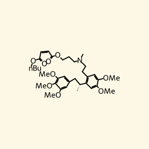 CCCCOC(=O)/C=C\C(=O)OCCCN(C)CCc1cc(OC)c(OC)cc1[C@H](C)Cc1cc(OC)c(OC)c(OC)c1